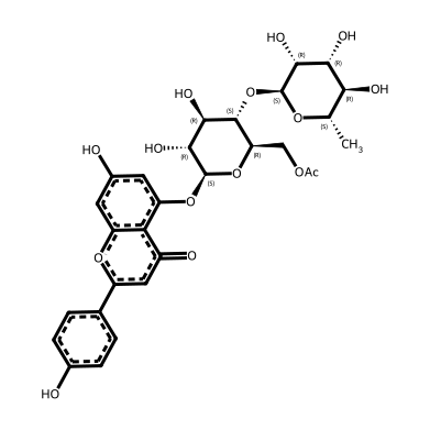 CC(=O)OC[C@H]1O[C@@H](Oc2cc(O)cc3oc(-c4ccc(O)cc4)cc(=O)c23)[C@H](O)[C@@H](O)[C@@H]1O[C@@H]1O[C@@H](C)[C@H](O)[C@@H](O)[C@H]1O